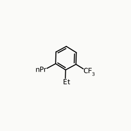 CCCc1cccc(C(F)(F)F)c1CC